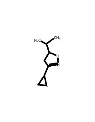 CC(C)C1CC(C2CC2)=NO1